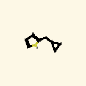 c1csc(CC2CC2)c1